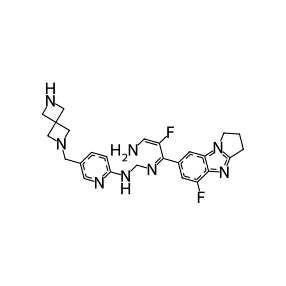 N/C=C(F)\C(=N/CNc1ccc(CN2CC3(CNC3)C2)cn1)c1cc(F)c2nc3n(c2c1)CCC3